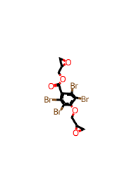 O=C(OCC1CO1)c1c(Br)c(Br)c(OCC2CO2)c(Br)c1Br